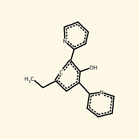 CCc1cc(-c2ccccn2)c(O)c(-c2ccccn2)c1